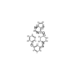 c1ccc(Oc2cccc(SN3CCC(Oc4ncnc5ccsc45)CC3)c2)cc1